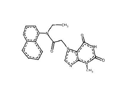 CCN(C(=O)Cn1cnc2c1c(=O)[nH]c(=O)n2C)c1cccc2ccccc12